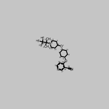 CC(C)(N1CCC(O[C@H]2CC[C@H](Oc3ccncc3C#N)CC2)CC1)C(F)(F)F